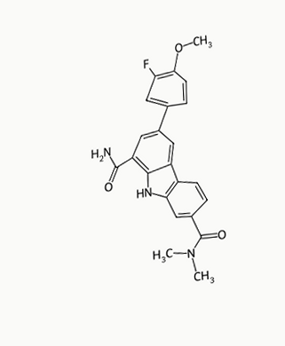 COc1ccc(-c2cc(C(N)=O)c3[nH]c4cc(C(=O)N(C)C)ccc4c3c2)cc1F